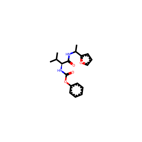 CC(NC(=O)[C@@H](NC(=O)Oc1ccccc1)C(C)C)c1ccco1